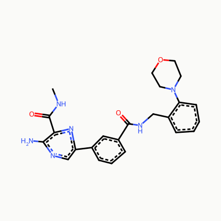 CNC(=O)c1nc(-c2cccc(C(=O)NCc3ccccc3N3CCOCC3)c2)cnc1N